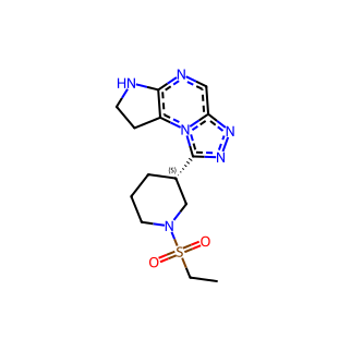 CCS(=O)(=O)N1CCC[C@H](c2nnc3cnc4c(n23)CCN4)C1